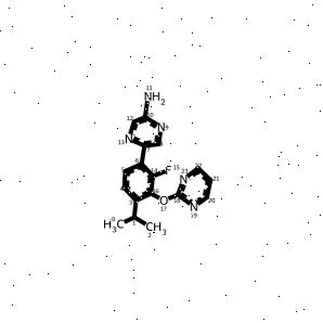 CC(C)c1ccc(-c2cnc(N)cn2)c(F)c1Oc1ncccn1